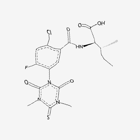 CC[C@@H](C)[C@@H](NC(=O)c1cc(-n2c(=O)n(C)c(=S)n(C)c2=O)c(F)cc1Cl)C(=O)O